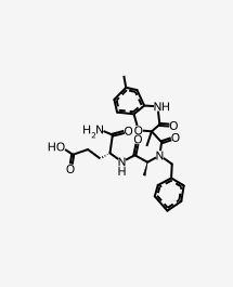 Cc1ccc2c(c1)NC(=O)C(C)(C(=O)N(Cc1ccccc1)[C@@H](C)C(=O)N[C@H](CCC(=O)O)C(N)=O)O2